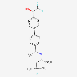 CC(C)(F)C[C@H](N[C@@H](c1ccc(-c2ccc([C@@H](O)C(F)F)cc2)cc1)C(F)(F)F)C(=O)O